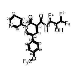 O=C(NC(F)C(O)C(F)F)c1cc(-c2ccc(OC(F)(F)F)cc2)nn(-c2cccnc2)c1=O